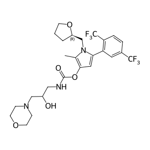 Cc1c(OC(=O)NCC(O)CN2CCOCC2)cc(-c2cc(C(F)(F)F)ccc2C(F)(F)F)n1C[C@H]1CCCO1